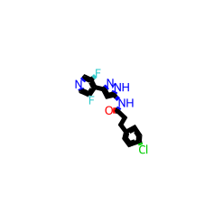 O=C(CCc1ccc(Cl)cc1)Nc1cc(-c2c(F)cncc2F)n[nH]1